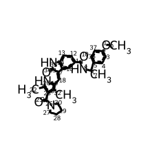 COc1ccc([C@H](C)NC(=O)c2ccc3c(c2)/C(=C/c2[nH]c(C)c(C(=O)N4CCCC4)c2C)C(=O)N3)cc1